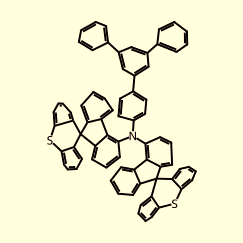 c1ccc(-c2cc(-c3ccccc3)cc(-c3ccc(N(c4cccc5c4-c4ccccc4C54c5ccccc5Sc5ccccc54)c4cccc5c4-c4ccccc4C54c5ccccc5Sc5ccccc54)cc3)c2)cc1